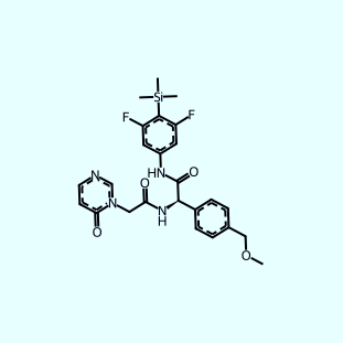 COCc1ccc([C@@H](NC(=O)Cn2cnccc2=O)C(=O)Nc2cc(F)c([Si](C)(C)C)c(F)c2)cc1